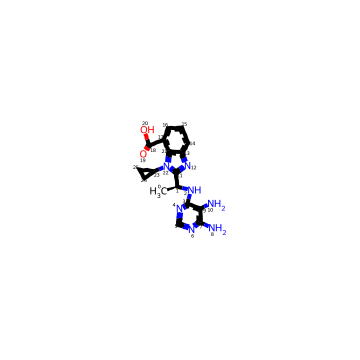 C[C@H](Nc1ncnc(N)c1N)c1nc2cccc(C(=O)O)c2n1C1CC1